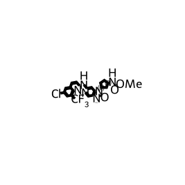 COC(=O)N[C@@H]1CC[C@@H](n2c(=O)n(C)c3cnc(Nc4ccc5cc(Cl)cc(C(F)(F)F)c5n4)cc32)C1